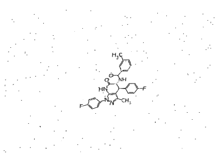 Cc1cccc(C(=O)N[C@H]2C(=O)Nc3c(c(C)nn3-c3ccc(F)cc3)[C@@H]2c2ccc(F)cc2)c1